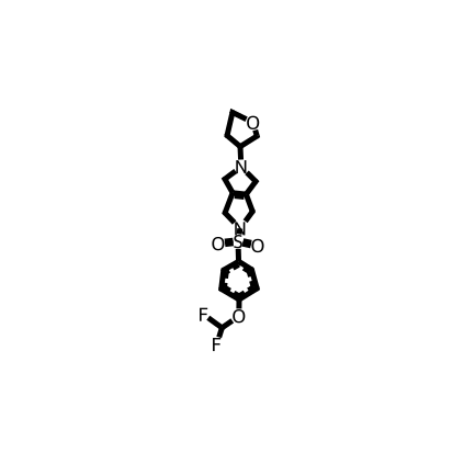 O=S(=O)(c1ccc(OC(F)F)cc1)N1CC2=C(CN(C3CCOC3)C2)C1